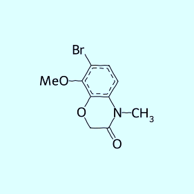 COc1c(Br)ccc2c1OCC(=O)N2C